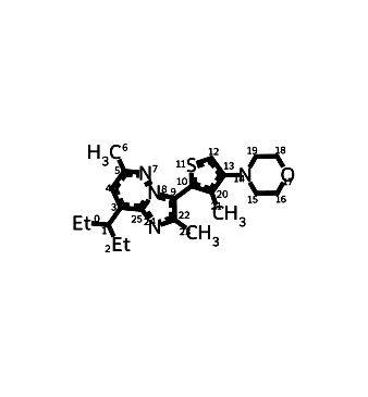 CCC(CC)c1cc(C)nn2c(-c3scc(N4CCOCC4)c3C)c(C)nc12